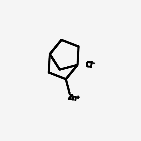 [Cl-].[Zn+][CH]1CC2CCC1C2